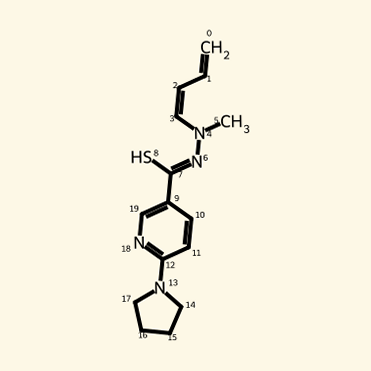 C=C/C=C\N(C)/N=C(\S)c1ccc(N2CCCC2)nc1